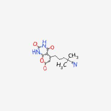 CC(C)(C#N)CCCc1cc(=O)oc2[nH]c(=O)[nH]c(=O)c12